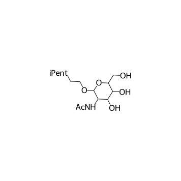 CCCC(C)CCOC1OC(CO)C(O)C(O)C1NC(C)=O